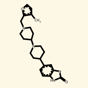 Cc1ccoc1CN1CCC(N2CCC(c3ccc4c(c3)[N]C(=O)N4)CC2)CC1